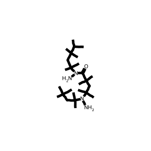 CC(C)C(C)(C)CC(C)(C)N(N)C(=O)C(C)(C)CC(C)(C)N(N)C(C)(C)CC(C)(C)C